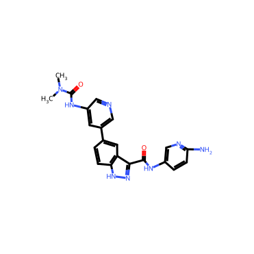 CN(C)C(=O)Nc1cncc(-c2ccc3[nH]nc(C(=O)Nc4ccc(N)nc4)c3c2)c1